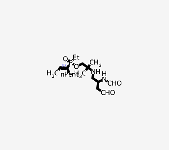 C/C=C(\CCCCC)P(=O)(CC)OCC(C)(C)NCC(CC=O)NC=O